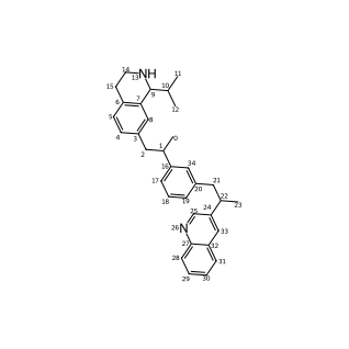 CC(Cc1ccc2c(c1)C(C(C)C)NCC2)c1cccc(CC(C)c2cnc3ccccc3c2)c1